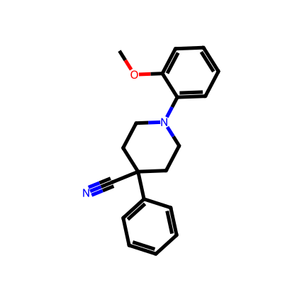 COc1ccccc1N1CCC(C#N)(c2ccccc2)CC1